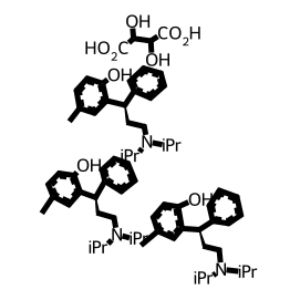 Cc1ccc(O)c([C@H](CCN(C(C)C)C(C)C)c2ccccc2)c1.Cc1ccc(O)c([C@H](CCN(C(C)C)C(C)C)c2ccccc2)c1.Cc1ccc(O)c([C@H](CCN(C(C)C)C(C)C)c2ccccc2)c1.O=C(O)C(O)C(O)C(=O)O